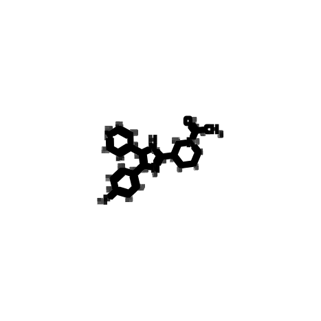 CC(=O)N1CCCC(c2nc(-c3ccc(F)cc3)c(-c3ccncc3)[nH]2)C1